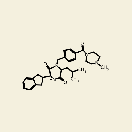 CC(C)CC1C(=O)NC(C2Cc3ccccc3C2)C(=O)N1Cc1ccc(C(=O)N2CCN(C)CC2)cc1